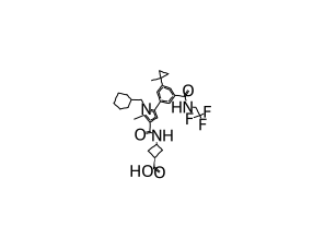 Cc1c(C(=O)N[C@H]2C[C@H](C(=O)O)C2)cc(-c2cc(C(=O)NCC(F)(F)F)cc(C3(C)CC3)c2)n1CC1CCCCC1